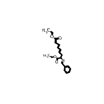 CCOC(=O)CCCC=CCC(N=Cc1ccccc1)C(=O)OCC